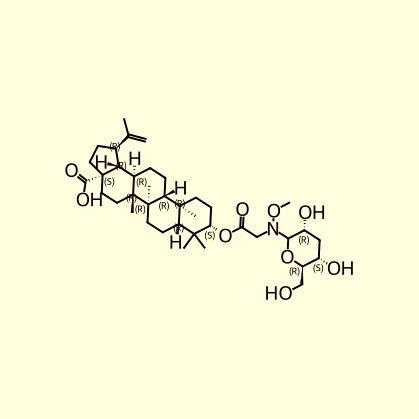 C=C(C)[C@@H]1CC[C@]2(C(=O)O)CC[C@]3(C)[C@H](CC[C@@H]4[C@@]5(C)CC[C@H](OC(=O)CN(OC)C6O[C@H](CO)[C@@H](O)C[C@H]6O)C(C)(C)[C@@H]5CC[C@]43C)[C@@H]12